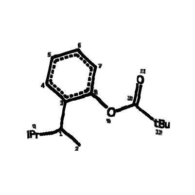 CC(C)C(C)c1ccccc1OC(=O)C(C)(C)C